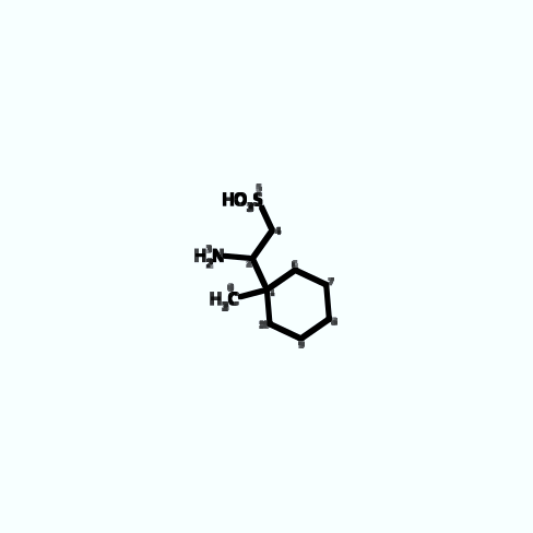 CC1(C(N)CS(=O)(=O)O)CCCCC1